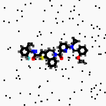 COc1ccccc1CN(c1cccc(C(=O)N2CCc3cc(C(=O)Nc4c(C)cccc4F)sc3-c3ccccc32)n1)C1CC1